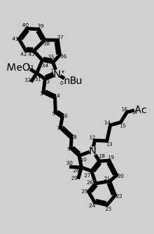 CCCC[N+]1=C(/C=C/C=C/C=C/C=C2\N(CCCCCC(C)=O)c3ccc4ccccc4c3C2(C)C)C(C)(OC)c2c1ccc1ccccc21